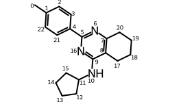 Cc1ccc(-c2nc3c(c(NC4CCCC4)n2)CCCC3)cc1